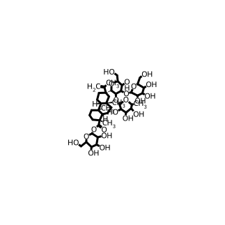 C=C(C)[C@]1(C2OC(CO)C(O)C(OC3OC(CO)C(O)C(O)C3O)C2OC2OC(C)C(O)C(O)C2O)CC[C@@H]2[C@@](C)(CC[C@H]3[C@@]2(C)CCC[C@@]3(C)C(=O)OC2OC(CO)C(O)C(O)C2O)C1